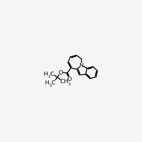 CC(C)(C)OC(=O)C1=CC=CCn2c1cc1ccccc12